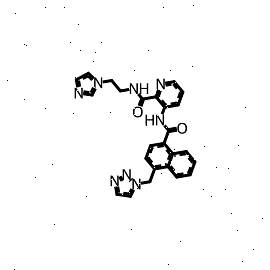 O=C(NCCn1ccnc1)c1ncccc1NC(=O)c1ccc(Cn2ccnn2)c2ccccc12